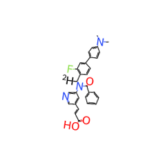 [2H]C(c1ccc(-c2ccc(N(C)C)cc2)cc1F)N(C(=O)c1ccccc1)c1cncc(/C=C/C(=O)O)c1